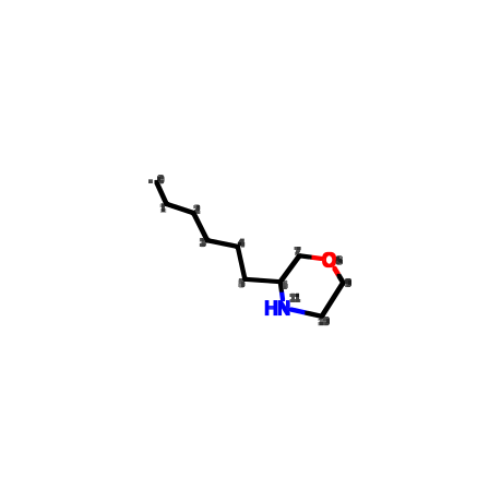 [CH2]CCCCCC1COCCN1